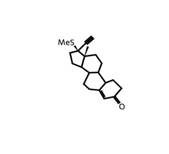 C#C[C@@]1(SC)CCC2C3CCC4=CC(=O)CCC4C3CC[C@]21C